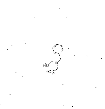 O=C(O)CN(CO)Cc1ccccc1